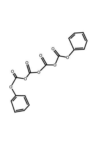 O=C(OC(=O)OC(=O)Oc1ccccc1)OC(=O)Oc1ccccc1